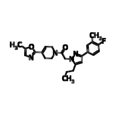 CCCc1cc(-c2ccc(F)c(C)c2)nn1CC(=O)N1CC=C(c2ncc(C)o2)CC1